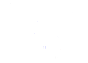 Cc1ccc(S(=O)(=O)n2ccc3c2ncc2nc(C(C)O)n(N4C=CC=C(OC(=O)NC(C)(C)C)C4)c23)cc1